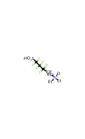 CC[N+](CC)(CC)CC.O=S(=O)(O)C(F)(F)C(F)(F)C(F)(F)C(F)(F)F